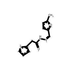 Cc1ccc(/C=N\NC(=O)Cc2cccs2)o1